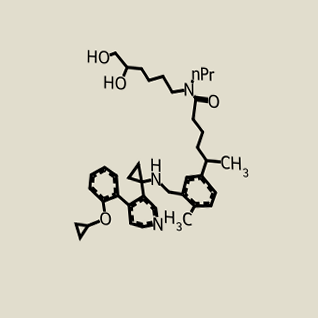 CCCN(CCCCC(O)CO)C(=O)CCCC(C)c1ccc(C)c(CNC2(c3cnccc3-c3ccccc3OC3CC3)CC2)c1